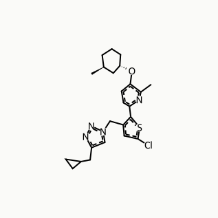 Cc1nc(-c2sc(Cl)cc2Cn2cc(CC3CC3)nn2)ccc1O[C@H]1CCC[C@H](C)C1